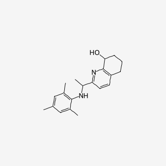 Cc1cc(C)c(NC(C)c2ccc3c(n2)C(O)CCC3)c(C)c1